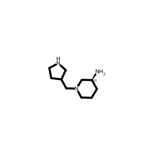 N[C@H]1CCCN(CC2CCNC2)C1